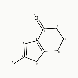 CC1=CC2=C(CCCC2=O)C1